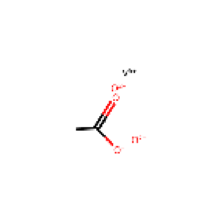 CC(=O)[O-].[O-2].[O-2].[V+5]